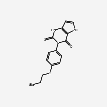 CC(C)(C)CCOc1ccc(-n2c(=S)[nH]c3cc[nH]c3c2=O)cc1